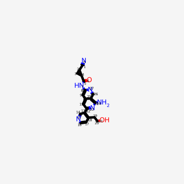 N#CC1CC1C(=O)Nc1cc2cc(-c3cnccc3CCO)nc(N)c2cn1